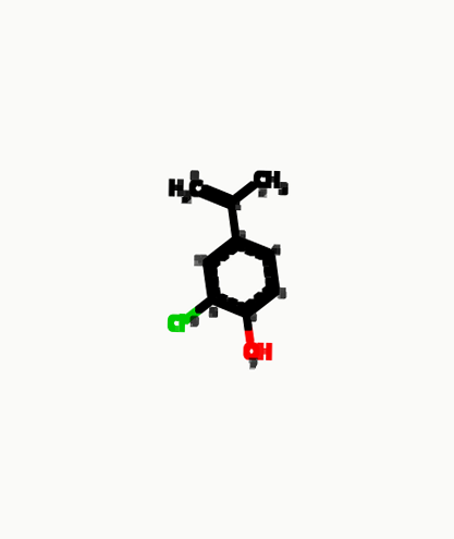 C=C(C)c1ccc(O)c(Cl)c1